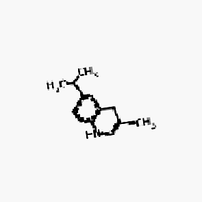 CC1=CNc2ccc(C(C)C)cc2C1